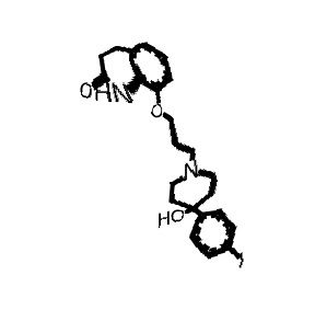 O=C1CCc2cccc(OCCCN3CCC(O)(c4ccc(I)cc4)CC3)c2N1